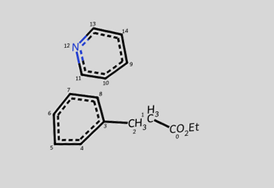 CCOC(C)=O.Cc1ccccc1.c1ccncc1